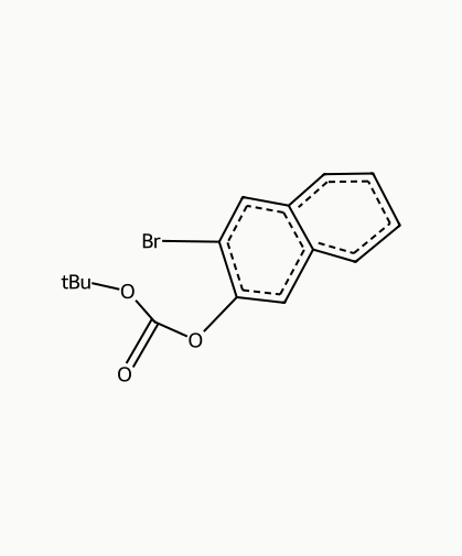 CC(C)(C)OC(=O)Oc1cc2ccccc2cc1Br